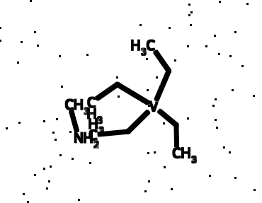 CN.C[CH2][V]([CH2]C)([CH2]C)[CH2]C